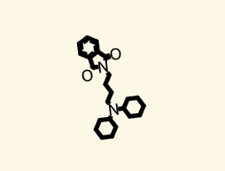 O=C1c2ccccc2C(=O)N1CCCCN(C1CCCCC1)C1CCCCC1